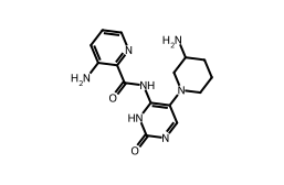 Nc1cccnc1C(=O)Nc1[nH]c(=O)ncc1N1CCCC(N)C1